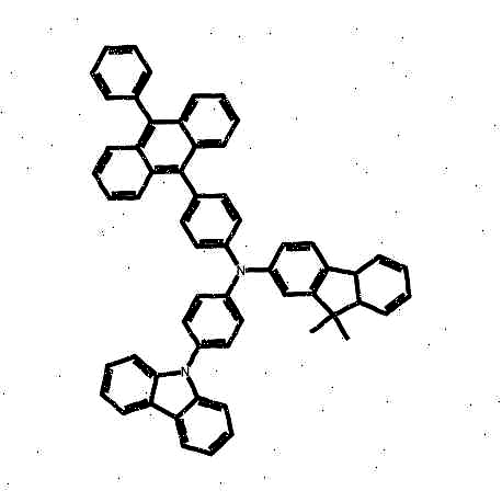 CC1(C)c2cc(N(c3ccc(-c4c5ccccc5c(-c5ccccc5)c5ccccc45)cc3)c3ccc(-n4c5ccccc5c5ccccc54)cc3)ccc2C2C=CC=CC21